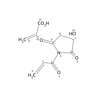 C=CC(=O)N1C(=O)CCC1=O.C=CC(=O)O.Cl